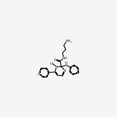 NCCCNC(=O)C1(Nc2ccccc2)N=CC=C(c2ccncc2)N1Cl